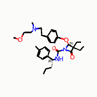 CCC[C@@H](NC(=O)N1C(=O)C(CC)(CC)[C@@H]1Oc1ccc(CCN(C)CCOC)cc1)c1ccc(C)cc1